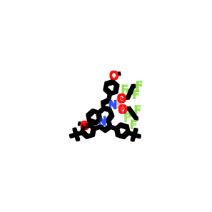 COc1ccc(-c2cc(-c3ccc(OC)cc3)n(B(OCC(F)(F)CF)OCC(F)(F)CF)c2/C=C2\N=C(c3ccc(C(C)(C)C)cc3)C=C2c2ccc(C(C)(C)C)cc2)cc1